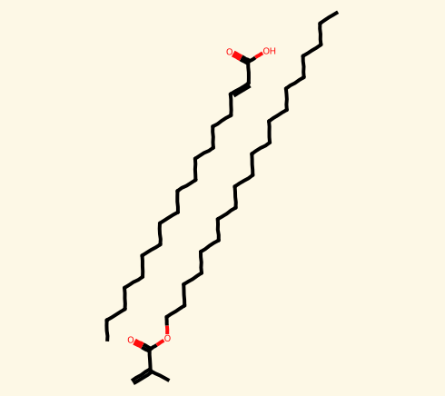 C=C(C)C(=O)OCCCCCCCCCCCCCCCCCCCC.CCCCCCCCCCCCCCCC=CC(=O)O